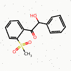 CS(=O)(=O)c1ccccc1C(=O)C(O)c1ccccc1